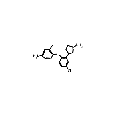 Cc1cc(N)ccc1Oc1ccc(Cl)cc1C1CCN(N)C1